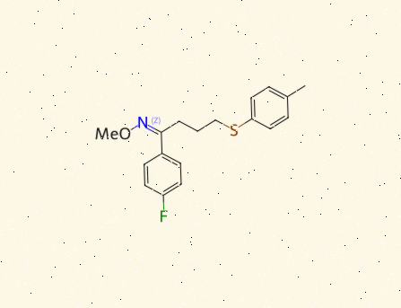 CO/N=C(/CCCSc1ccc(C)cc1)c1ccc(F)cc1